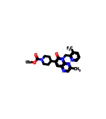 Cc1cnc2cc(C3CCN(C(=O)OC(C)(C)C)CC3)c(=O)n(Cc3ncccc3C(F)(F)F)c2n1